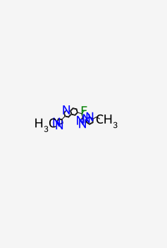 CCc1ccc2nnc(C(F)c3ccc4ncc(-c5cnn(C)c5)cc4c3)n2n1